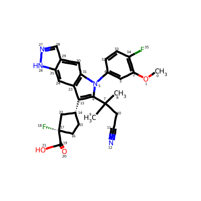 COc1cc(-n2c(C(C)(C)CC#N)c([C@@H]3CC[C@@](F)(C(=O)O)C3)c3cc4[nH]ncc4cc32)ccc1F